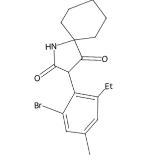 CCc1cc(C)cc(Br)c1C1C(=O)NC2(CCCCC2)C1=O